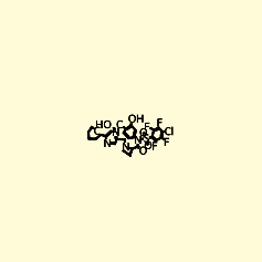 O=C(O)c1ccc(N(C(=O)C2CCN2Cc2cnc(C3CCCCC3)cn2)S(=O)(=O)c2c(F)c(F)c(Cl)c(F)c2F)cc1O